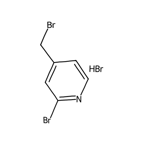 Br.BrCc1ccnc(Br)c1